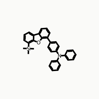 C[Si](C)(C)c1cccc2c1oc1c(-c3ccc(N(c4ccccc4)c4ccccc4)cc3)cccc12